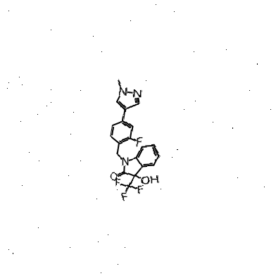 Cn1cc(-c2ccc(CN3C(=O)C(O)(C(F)(F)F)c4ccccc43)c(F)c2)cn1